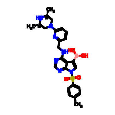 Cc1ccc(S(=O)(=O)n2cc(B(O)O)c3c(NCc4cccc(N5C[C@@H](C)N[C@@H](C)C5)n4)ncnc32)cc1